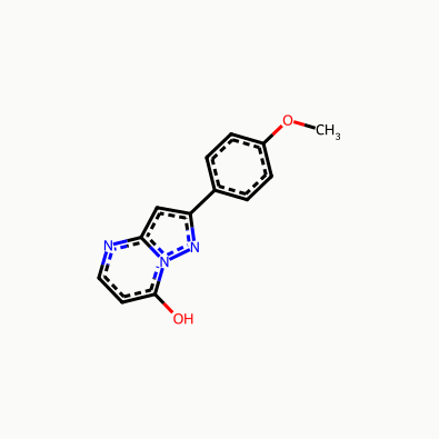 COc1ccc(-c2cc3nccc(O)n3n2)cc1